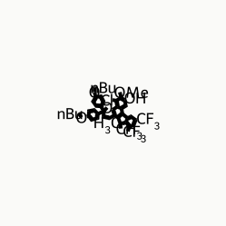 CCCCOc1ccc(C2(c3ccc(OCCCC)cc3)C=Cc3c4c(c5cc(O)c(OC)c(Cl)c5c3O2)-c2cc(C(F)(F)F)cc(C(F)(F)F)c2C4(C)C)cc1